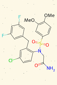 COc1ccc(S(=O)(=O)N(CC(N)=O)c2ccc(Cl)cc2Cc2cc(F)cc(F)c2)cc1OC